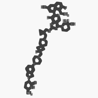 C=C1CC[C@H](N2Cc3ccc(N4CCN(CC5(F)CC6(CCN(CC7(COc8nc(N9CCC[C@@](C)(O)C9)c9cnc(-c%10cc(O)cc%11ccc(F)c(CC)c%10%11)c(F)c9n8)CC7)CC6)C5)CC4)cc3C2)C(=O)N1